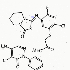 COC(=O)CSc1cc(/N=c2\sc(=O)n3n2CCCC3)c(F)cc1Cl.Nc1cnn(-c2ccccc2)c(=O)c1Cl